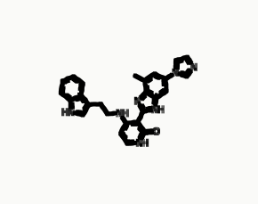 Cc1cc(-n2ccnc2)cc2[nH]c(-c3c(NCCc4c[nH]c5ccccc45)cc[nH]c3=O)nc12